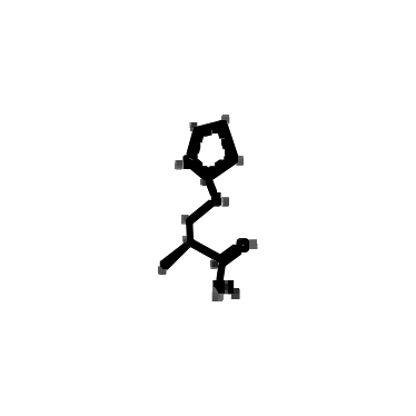 C[C@@H](CSc1cccs1)C(N)=O